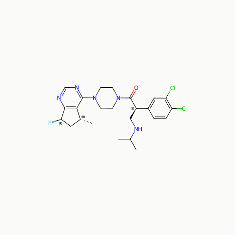 CC(C)NC[C@@H](C(=O)N1CCN(c2ncnc3c2[C@H](C)C[C@H]3F)CC1)c1ccc(Cl)c(Cl)c1